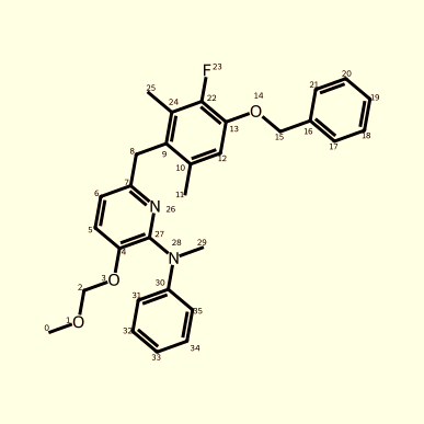 COCOc1ccc(Cc2c(C)cc(OCc3ccccc3)c(F)c2C)nc1N(C)c1ccccc1